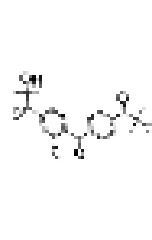 CC(C)(O)C(=O)c1ccc(C(=O)c2ccc(C(=O)C(C)(C)O)cc2Cl)cc1